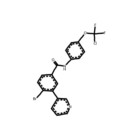 O=C(Nc1ccc(OC(F)(F)Cl)cc1)c1ccc(Br)c(-c2cccnc2)c1